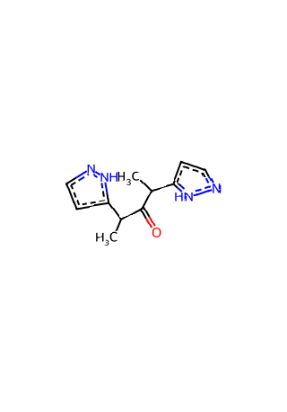 CC(C(=O)C(C)c1ccn[nH]1)c1ccn[nH]1